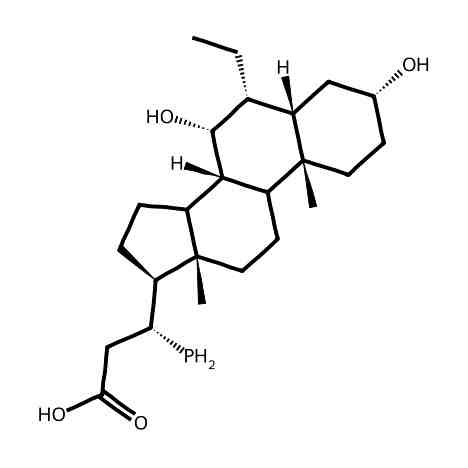 CC[C@H]1[C@@H](O)[C@H]2C3CC[C@H]([C@H](P)CC(=O)O)[C@@]3(C)CCC2[C@@]2(C)CC[C@@H](O)C[C@@H]12